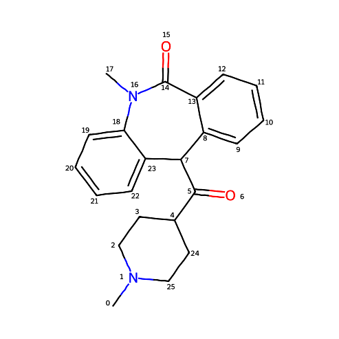 CN1CCC(C(=O)C2c3ccccc3C(=O)N(C)c3ccccc32)CC1